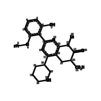 CCCOc1cccc(O)c1-c1cc(C2CCCNC2)c2c(n1)N(CC)C(=O)C(C(=O)O)C2